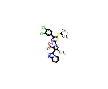 Cc1nn(-c2nc(-c3ccc(Cl)c(Cl)c3)c(SC(C)C)s2)c(C(=O)O)c1-c1nnc2ccccn12